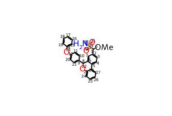 COC(c1ccc2c(c1)C(c1ccc(Oc3ccccc3)cc1)Oc1ccccc1-2)S(N)(=O)=O